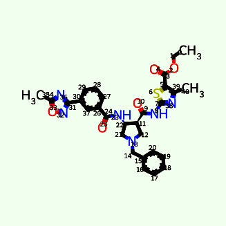 CCOC(=O)c1sc(NC(=O)[C@H]2CN(Cc3ccccc3)C[C@@H]2NC(=O)c2cccc(-c3noc(C)n3)c2)nc1C